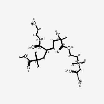 COC(=O)C(C)(C)CC(CCC(C)(Br)C(=O)OCC[N+](C)(C)CC(=O)O)C(=O)NCCO